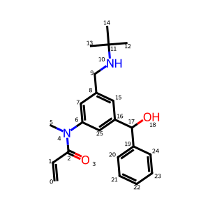 C=CC(=O)N(C)c1cc(CNC(C)(C)C)cc(C(O)c2ccccc2)c1